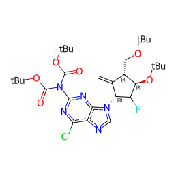 C=C1[C@@H](n2cnc3c(Cl)nc(N(C(=O)OC(C)(C)C)C(=O)OC(C)(C)C)nc32)C(F)[C@H](OC(C)(C)C)[C@H]1COC(C)(C)C